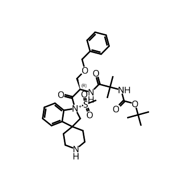 CC(C)(C)OC(=O)NC(C)(C)C(=O)N[C@H](COCc1ccccc1)C(=O)[N+]1(S(C)(=O)=O)CC2(CCNCC2)c2ccccc21